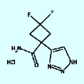 Cl.NC(=O)C1(c2c[nH]nn2)CC(F)(F)C1